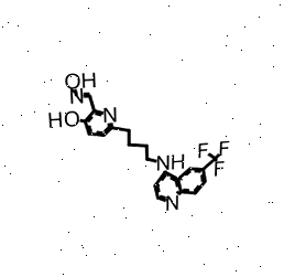 O/N=C/c1nc(CCCCNc2ccnc3ccc(C(F)(F)F)cc23)ccc1O